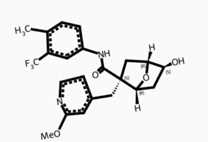 COc1cc(C[C@]2(C(=O)Nc3ccc(C)c(C(F)(F)F)c3)C[C@H]3O[C@@H]2C[C@@H]3O)ccn1